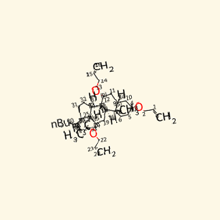 C=CCO[C@@H]1CC[C@@]2(C)[C@@H](C1)C[C@@H](OCC=C)[C@@H]1[C@@H]2C[C@H](OCC=C)[C@]2(C)[C@@H]([C@@H](C)CCCC)CC[C@@H]12